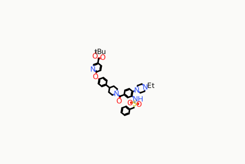 CCN1CCN(c2ccc(C(=O)N3CCC(c4ccc(Oc5ccc(C(=O)OC(C)(C)C)cn5)cc4)CC3)cc2NS(=O)(=O)Cc2ccccc2)CC1